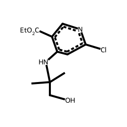 CCOC(=O)c1cnc(Cl)cc1NC(C)(C)CO